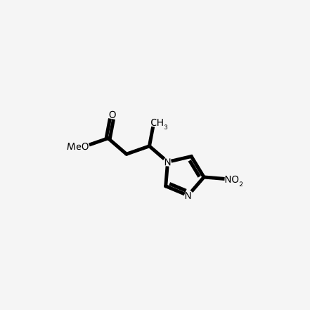 COC(=O)CC(C)n1cnc([N+](=O)[O-])c1